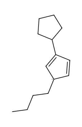 CCCC[C]1C=CC(C2CCCC2)=C1